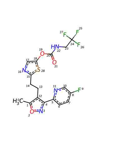 Cc1onc(-c2ccc(F)cn2)c1CCc1ncc(OC(=O)NCC(F)(F)F)s1